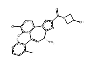 C[C@@H]1N=C(c2c(F)cccc2F)c2c(ccc(Cl)c2Cl)-n2cc(C(=O)N3CC(O)C3)nc21